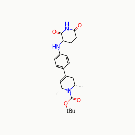 C[C@@H]1C=C(c2ccc(NC3CCC(=O)NC3=O)cc2)C[C@H](C)N1C(=O)OC(C)(C)C